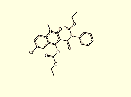 CCOC(=O)Oc1c(C(=O)N(C(=O)OCC)c2ccccc2)c(=O)n(C)c2ccc(Cl)cc12